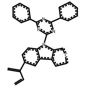 C=CC(=C)c1ccc2c(c1)c1ccccc1n2-c1nc(-c2ccccc2)nc(-c2ccccc2)n1